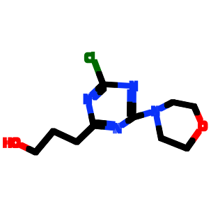 OCCCc1nc(Cl)nc(N2CCOCC2)n1